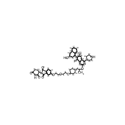 CC(CN1CCC(OCCOCCOc2ccc3c(c2)C(=O)N(C2CCC(=O)NC2=O)C3=O)CC1)Oc1nc(N2CCNCC2)c2cc(Cl)c(-c3cc(O)cc4ccccc34)c(F)c2n1